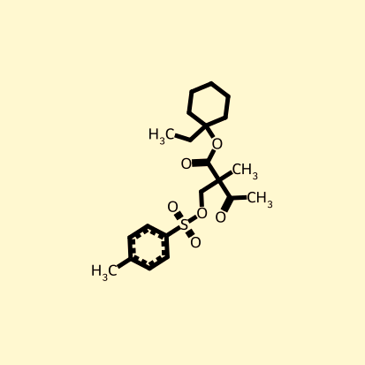 CCC1(OC(=O)C(C)(COS(=O)(=O)c2ccc(C)cc2)C(C)=O)CCCCC1